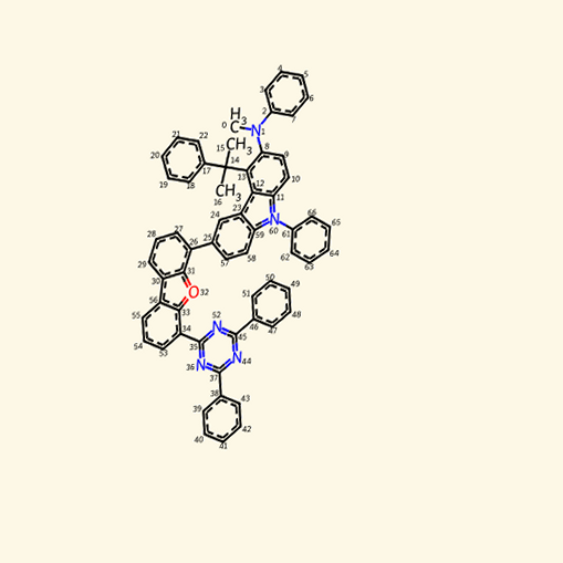 CN(c1ccccc1)c1ccc2c(c1C(C)(C)c1ccccc1)c1cc(-c3cccc4c3oc3c(-c5nc(-c6ccccc6)nc(-c6ccccc6)n5)cccc34)ccc1n2-c1ccccc1